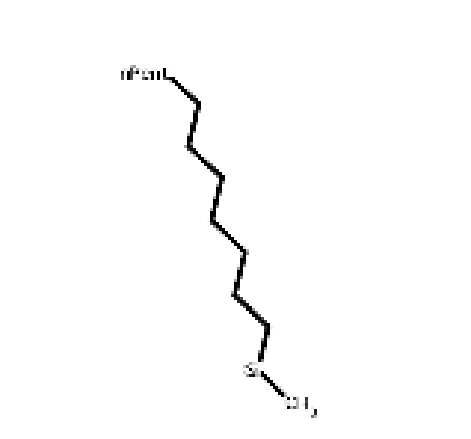 CCCCCCCCCCCC[Si]C